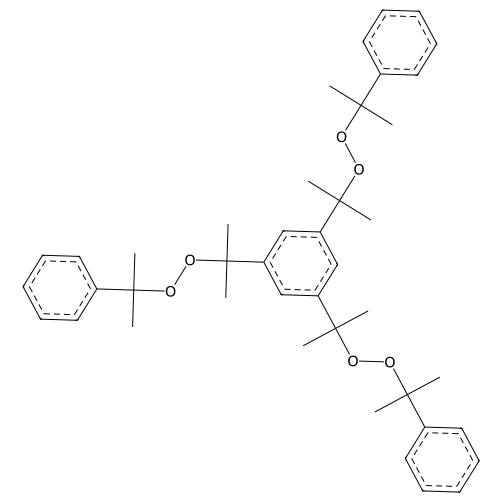 CC(C)(OOC(C)(C)c1cc(C(C)(C)OOC(C)(C)c2ccccc2)cc(C(C)(C)OOC(C)(C)c2ccccc2)c1)c1ccccc1